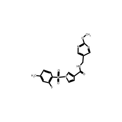 COc1ncc(CNC(=O)c2ccn(S(=O)(=O)c3ccc(C)cc3F)c2)cn1